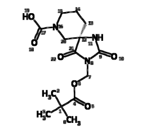 CC(C)(C)C(=O)OCN1C(=O)N[C@@]2(CCCN(C(=O)O)C2)C1=O